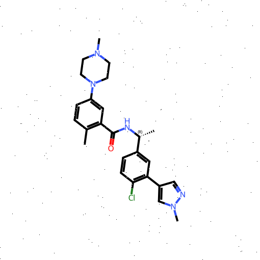 Cc1ccc(N2CCN(C)CC2)cc1C(=O)N[C@H](C)c1ccc(Cl)c(-c2cnn(C)c2)c1